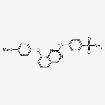 COc1ccc(Oc2cccc3cnc(Nc4ccc(S(N)(=O)=O)cc4)nc23)cc1